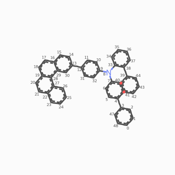 c1ccc(-c2ccc(N(c3ccc(-c4ccc5ccc6ccc7ccccc7c6c5c4)cc3)c3ccccc3-c3ccccc3)cc2)cc1